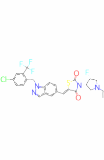 CCN1C[C@@H](F)[C@@H](N2C(=O)S/C(=C\c3ccc4c(cnn4Cc4ccc(Cl)cc4C(F)(F)F)c3)C2=O)C1